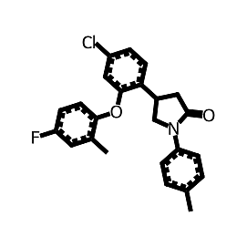 Cc1ccc(N2CC(c3ccc(Cl)cc3Oc3ccc(F)cc3C)CC2=O)cc1